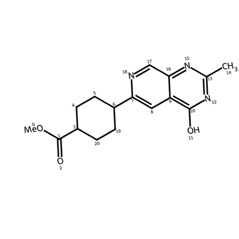 COC(=O)C1CCC(c2cc3c(O)nc(C)nc3cn2)CC1